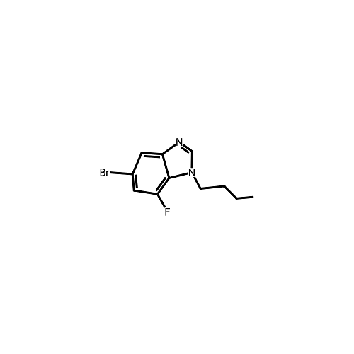 CCCCn1cnc2cc(Br)cc(F)c21